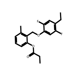 CCC(=O)Oc1cccc(C)c1COc1cc(F)c(CC)cc1F